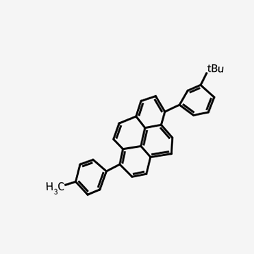 Cc1ccc(-c2ccc3ccc4c(-c5cccc(C(C)(C)C)c5)ccc5ccc2c3c54)cc1